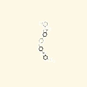 Cc1ccc2sc(-c3ccc(CN4CCC(c5ccc6c(c5)CN(C5CCCNC5)C6=O)CC4)cc3)nc2c1